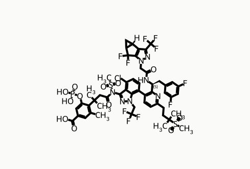 Cc1cc(C(=O)O)cc(OP(=O)(O)O)c1C(C)(C)CC(=O)N(c1nn(CC(F)(F)F)c2c(-c3ccc(CCC(C)(C)S(C)(=O)=O)nc3[C@H](Cc3cc(F)cc(F)c3)NC(=O)Cn3nc(C(F)(F)F)c4c3C(F)(F)C3C[C@H]43)ccc(Cl)c12)S(C)(=O)=O